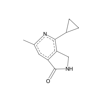 Cc1cc2c(c(C3CC3)n1)CNC2=O